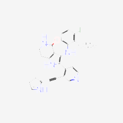 COc1c(F)cccc1Nc1c(-c2ccncc2C#C[C@H]2CC[C@@H](C)N2)[nH]c2c1C(=O)NCC2